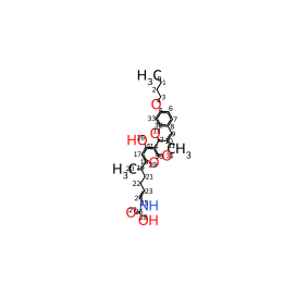 CCCCOc1ccc(C=C(C)C(=O)c2c(O)cc(C(C)CCC=CNC(=O)O)oc2=O)cc1